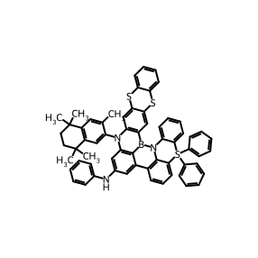 Cc1cc2c(cc1N1c3cc4c(cc3B3c5c(cc(Nc6ccccc6)cc51)-c1cccc5c1N3c1ccccc1S5(c1ccccc1)c1ccccc1)Sc1ccccc1S4)C(C)(C)CCC2(C)C